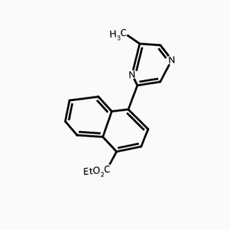 CCOC(=O)c1ccc(-c2cncc(C)n2)c2ccccc12